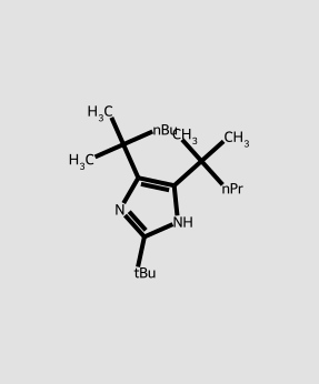 CCCCC(C)(C)c1nc(C(C)(C)C)[nH]c1C(C)(C)CCC